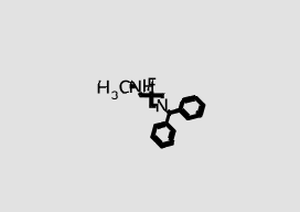 CNCC1(F)CN(C(c2ccccc2)c2ccccc2)C1